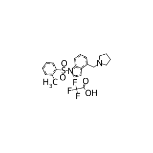 Cc1ccccc1S(=O)(=O)n1ccc2c(CN3CCCC3)cccc21.O=C(O)C(F)(F)F